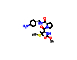 CCCSC(C)(C)[C@@H](NC(=O)OC(C)C)C(=O)N1CCC[C@H]1C(=O)NC[C@H]1CC[C@H](N)CC1